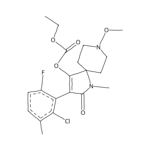 CCOC(=O)OC1=C(c2c(F)ccc(C)c2Cl)C(=O)N(C)C12CCN(OC)CC2